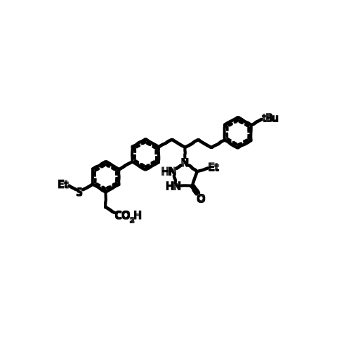 CCSc1ccc(-c2ccc(CC(CCc3ccc(C(C)(C)C)cc3)N3NNC(=O)C3CC)cc2)cc1CC(=O)O